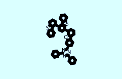 c1ccc(-c2nc(-c3ccccc3)nc(-c3ccc4c(c3)oc3c(-c5ccc(-c6cccc7sc8ccccc8c67)c6c5sc5ccccc56)cccc34)n2)cc1